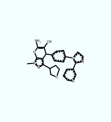 Cn1nc(C2CCOC2)c2c1OC(N)=C(C#N)C2c1ccc(-n2ccnc2-c2cccnc2)cc1